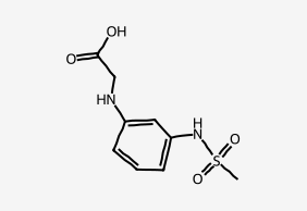 CS(=O)(=O)Nc1cccc(NCC(=O)O)c1